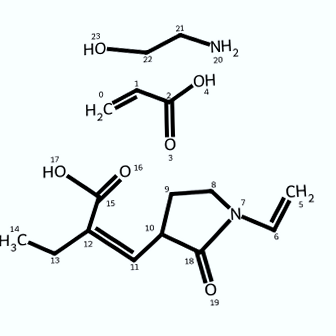 C=CC(=O)O.C=CN1CCC(C=C(CC)C(=O)O)C1=O.NCCO